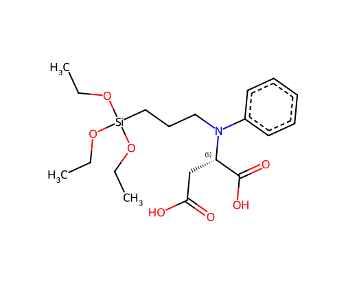 CCO[Si](CCCN(c1ccccc1)[C@@H](CC(=O)O)C(=O)O)(OCC)OCC